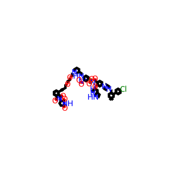 CC1(C)CCC(CN2CCN(c3ccc(C(=O)NS(=O)(=O)c4ccc(NCC5CCCN(CCOCCOCCC#Cc6cccc7c6C(=O)N(C6CCC(=O)NC6=O)C7=O)C5)c([N+](=O)[O-])c4)c(Oc4cnc5[nH]ccc5c4)c3)CC2)=C(c2ccc(Cl)cc2)C1